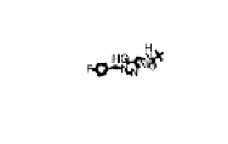 CC(C)(C)C(=O)Nc1cc2c([nH]1)N=CN(C#Cc1ccc(F)cc1)C2O